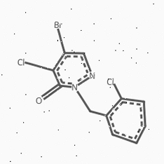 O=c1c(Cl)c(Br)cnn1Cc1ccccc1Cl